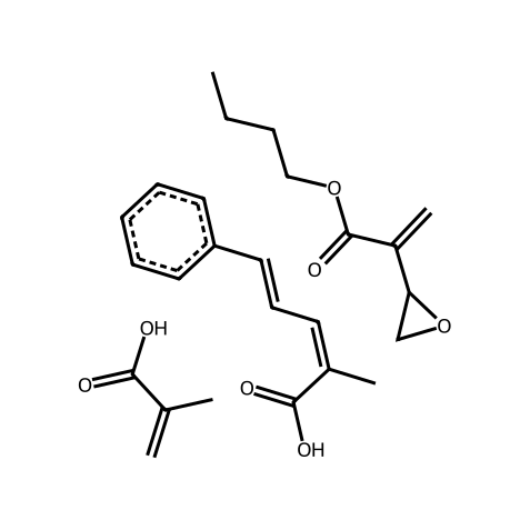 C=C(C(=O)OCCCC)C1CO1.C=C(C)C(=O)O.CC(=CC=Cc1ccccc1)C(=O)O